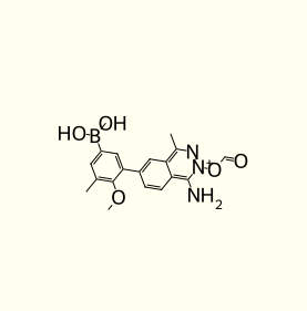 COc1c(C)cc(B(O)O)cc1-c1ccc2c(N)[n+](OC=O)nc(C)c2c1